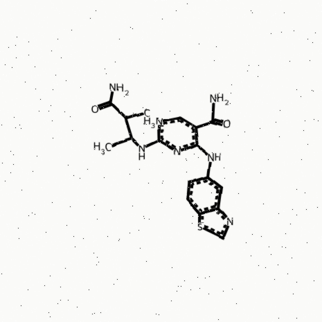 CC(Nc1ncc(C(N)=O)c(Nc2ccc3scnc3c2)n1)C(C)C(N)=O